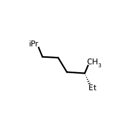 CC[C@@H](C)CCCC(C)C